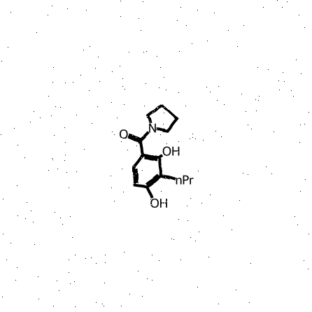 CCCc1c(O)ccc(C(=O)N2CCCC2)c1O